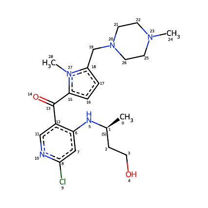 C[C@@H](CCO)Nc1cc(Cl)ncc1C(=O)c1ccc(CN2CCN(C)CC2)n1C